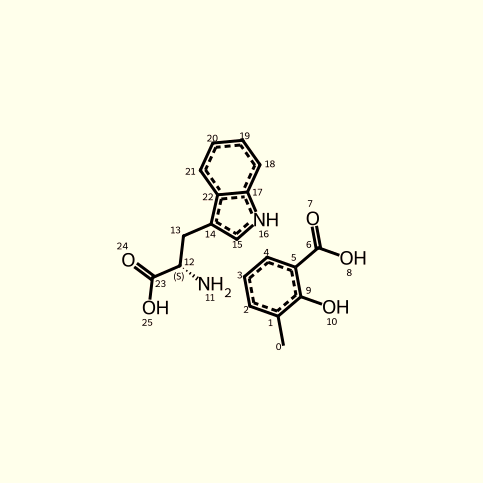 Cc1cccc(C(=O)O)c1O.N[C@@H](Cc1c[nH]c2ccccc12)C(=O)O